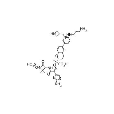 CC(O/N=C(\C(=O)NC1C(=O)N(OS(=O)(=O)O)C1(C)C)c1csc(N)n1)(C(=O)O)[C@H]1CCc2cc(-c3ccc(NCCCN)[n+](CC4CNC4)c3)ccc2O1